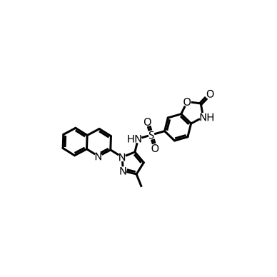 Cc1cc(NS(=O)(=O)c2ccc3[nH]c(=O)oc3c2)n(-c2ccc3ccccc3n2)n1